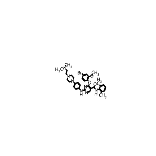 COc1cc(Br)ccc1Oc1nc(Nc2ccc(N3CCN(CCN(C)C)CC3)cc2)ncc1C(=O)Nc1c(C)cccc1C